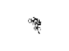 CCOC(=O)c1ccn2cc(C)c(Cl)nc12